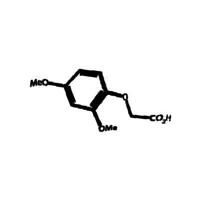 COc1ccc(OCC(=O)O)c(OC)c1